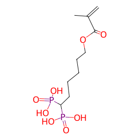 C=C(C)C(=O)OCCCCCC(P(=O)(O)O)P(=O)(O)O